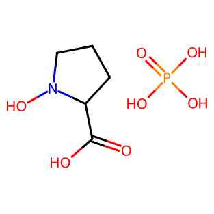 O=C(O)C1CCCN1O.O=P(O)(O)O